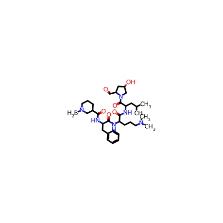 BN1CCCC(C(=O)NC(Cc2ccccc2)C(=O)NC(CCCN(C)C)C(=O)NC(CC(C)C)C(=O)N2CC(O)CC2C=O)C1